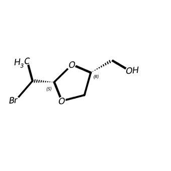 CC(Br)[C@H]1OC[C@@H](CO)O1